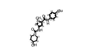 Cn1nc(NC(=O)N2CCC(O)CC2)cc1C(=O)Nc1ccc(C(C)(C)C)cc1